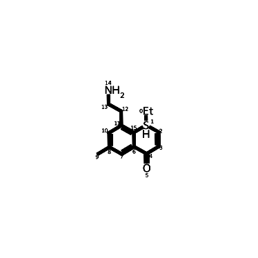 CC[SH]1C=CC(=O)c2cc(C)cc(CCN)c21